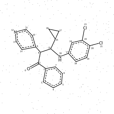 O=C(c1ccccc1)C(c1ccncc1)C(Nc1ccc(Cl)c(Cl)c1)C1CC1